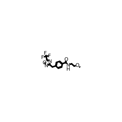 COCCNC(=O)c1ccc(Cc2noc(C(F)(F)F)n2)cc1